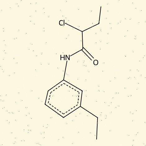 CCc1cccc(NC(=O)C(Cl)CC)c1